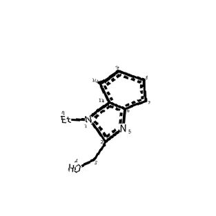 CCn1c(CO)nc2ccccc21